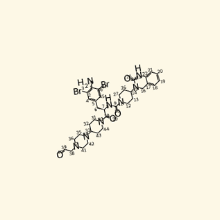 Nc1c(Br)cc(C[C@@H](NC(=O)N2CCC(N3Cc4ccccc4NC3=O)CC2)C(=O)N2CCC(N3CCN(CC=O)CC3)CC2)cc1Br